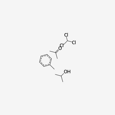 CC(C)=O.CC(C)O.Cc1ccccc1.ClC(Cl)Cl